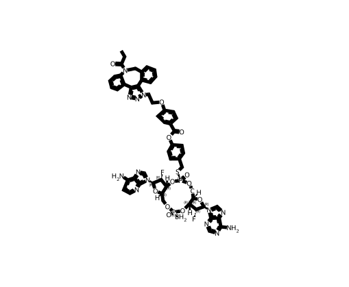 B[P@]1(=O)OC[C@H]2O[C@@H](n3cnc4c(N)ccnc43)[C@H](F)[C@@H]2O[P@@](=O)(SCc2ccc(OC(=O)c3ccc(OCCn4nnc5c4-c4ccccc4CN(C(=O)CC)c4ccccc4-5)cc3)cc2)OC[C@H]2O[C@@H](n3cnc4c(N)ncnc43)[C@H](F)[C@@H]2O1